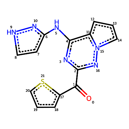 O=C(c1nc(Nc2cc[nH]n2)c2cccn2n1)c1cccs1